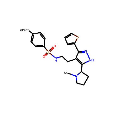 CCCCCc1ccc(S(=O)(=O)NCCc2c(-c3cccs3)n[nH]c2C2CCCN2C(C)=O)cc1